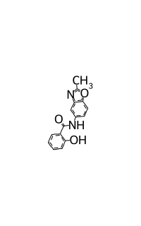 Cc1nc2cc(NC(=O)c3ccccc3O)ccc2o1